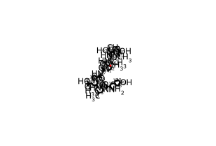 CC(C)CC(NC(=O)C(N)Cc1ccc(O)cc1)C(=O)NC(CCC(=O)O)C(=O)N1CCCC1C(=O)NCC(=O)N1CCCC1C(=O)NC(C(=O)NC(C(=O)NC(C)C(=O)O)C(C)O)C(C)C